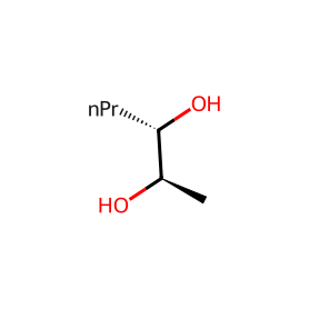 CCC[C@H](O)[C@@H](C)O